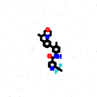 Cc1ccc(NC(=O)c2ccnc(C(C)(F)F)c2)cc1-c1ccc2c(c1)N1CCOCC1C(C)C2